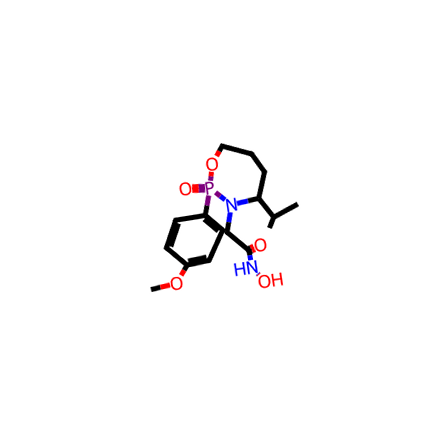 COc1ccc(P2(=O)OCCCC(C(C)C)N2CC(=O)NO)cc1